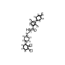 Cc1nc(C(=O)NCCN2CCN(c3cccc(Cl)c3Cl)CC2)c(C)n1-c1ccc(F)cc1